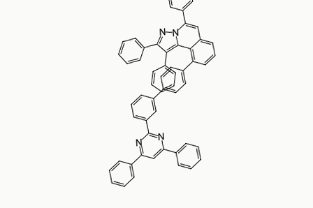 c1ccc(-c2cc(-c3ccccc3)nc(-c3cccc(-c4ccc(-c5cccc6cc(-c7ccccc7)n7nc(-c8ccccc8)c(-c8ccccc8)c7c56)cc4)c3)n2)cc1